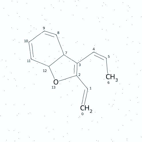 C=CC1=C(/C=C\C)C2C=CC=CC2O1